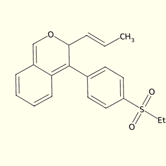 CC=CC1OC=c2ccccc2=C1c1ccc(S(=O)(=O)CC)cc1